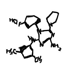 Cc1cc(C)cc(NC2N=C(N)N=C(N3CCCC3)N2c2cccc(F)c2)c1.Cl